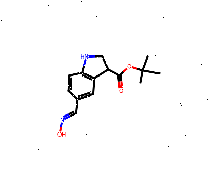 CC(C)(C)OC(=O)C1CNc2ccc(/C=N/O)cc21